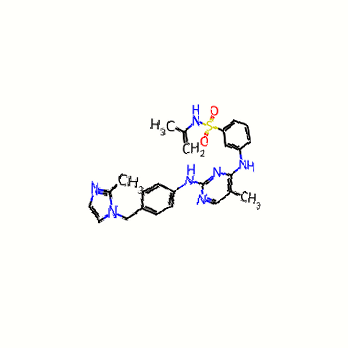 C=C(C)NS(=O)(=O)c1cccc(Nc2nc(Nc3ccc(Cn4ccnc4C)cc3)ncc2C)c1